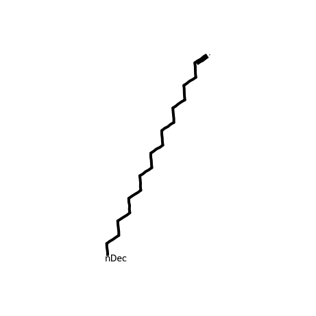 [CH]=CCCCCCCCCCCCCCCCCCCCCCCCCCC